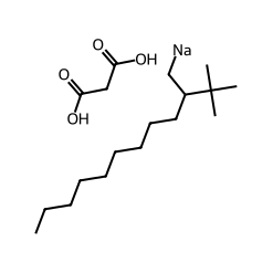 CCCCCCCCCC([CH2][Na])C(C)(C)C.O=C(O)CC(=O)O